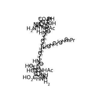 CCCOCCOCCOCCOCCN(CCOCCCNC(=O)CO[C@@H]([C@@H]1OC(C(=O)O)=C[C@H](NC(=N)N)[C@H]1NC(C)=O)[C@H](O)CO)CCOCCCNC(=O)CO[C@@H]([C@@H]1OC(C(=O)O)=C[C@H](NC(=N)N)[C@H]1NC(C)=O)[C@H](O)CO